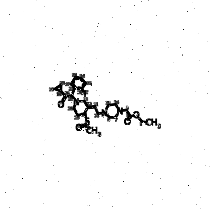 CCOC(=O)CN1CCN(C/C=C2/CN(C(C(=O)C3CC3)c3ccccc3F)CCC2SC(C)=O)CC1